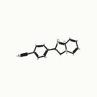 N#Cc1ccc(C2CN3C=CC=CC3=N2)cc1